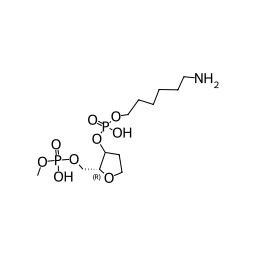 COP(=O)(O)OC[C@H]1OCCC1OP(=O)(O)OCCCCCCN